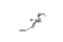 CCCCCCCCCCCCCCCCOc1ccc(OCC(=O)Nc2cccc(C[n+]3csc(C)c3)c2)cc1.[Br-]